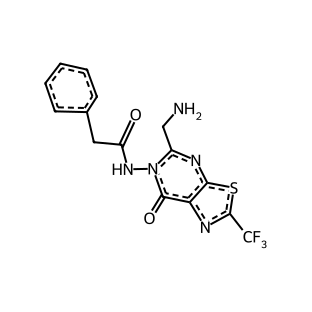 NCc1nc2sc(C(F)(F)F)nc2c(=O)n1NC(=O)Cc1ccccc1